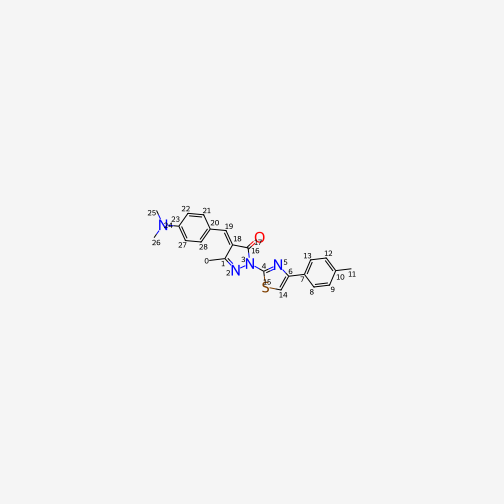 CC1=NN(c2nc(-c3ccc(C)cc3)cs2)C(=O)/C1=C/c1ccc(N(C)C)cc1